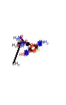 CCCCCCCCCCCCCCCC(=O)N[C@H](C(=O)N[C@@H](CCCNC(N)=O)C(=O)Nc1ccc(CSP2(=O)OC[C@H]3O[C@@H](n4cnc5c(N)ncnc54)[C@H](F)[C@@H]3OP(=O)(S)OC[C@H]3O[C@@H](n4cnc5c(O)ncnc54)[C@H](F)[C@@H]3O2)cc1)C(C)C